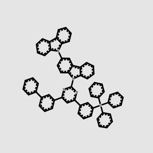 c1ccc(-c2cccc(-c3cc(-c4cccc(S(c5ccccc5)(c5ccccc5)c5ccccc5)c4)nc(-n4c5ccccc5c5cc(-n6c7ccccc7c7ccccc76)ccc54)n3)c2)cc1